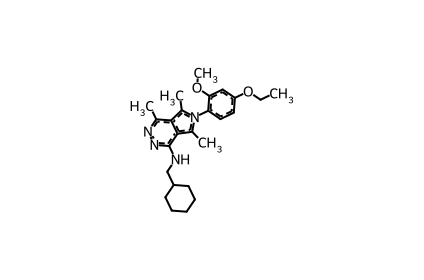 CCOc1ccc(-n2c(C)c3c(C)nnc(NCC4CCCCC4)c3c2C)c(OC)c1